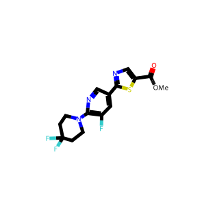 COC(=O)c1cnc(-c2cnc(N3CCC(F)(F)CC3)c(F)c2)s1